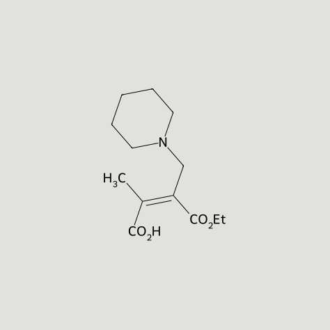 CCOC(=O)C(CN1CCCCC1)=C(C)C(=O)O